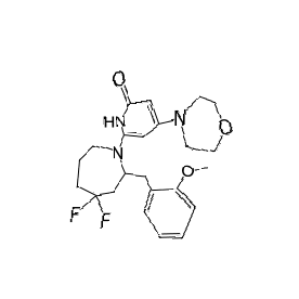 COc1ccccc1CC1CC(F)(F)CCCN1c1cc(N2CCOCC2)cc(=O)[nH]1